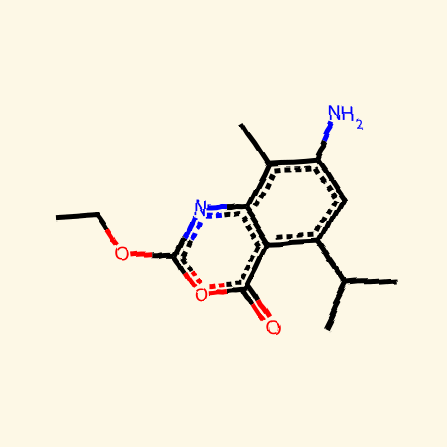 CCOc1nc2c(C)c(N)cc(C(C)C)c2c(=O)o1